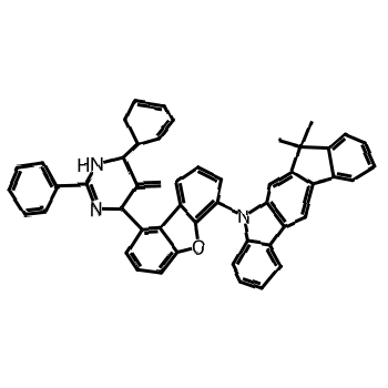 C=C1C(c2cccc3oc4c(-n5c6ccccc6c6cc7c(cc65)C(C)(C)c5ccccc5-7)cccc4c23)N=C(c2ccccc2)NC1C1C=CC=CC1